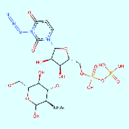 CC(=O)N[C@H]1C(O)O[C@H](CO)[C@@H](O)[C@@H]1O.[N-]=[N+]=Nn1c(=O)ccn([C@@H]2O[C@H](COP(=O)(O)OP(=O)(O)O)[C@@H](O)[C@H]2O)c1=O